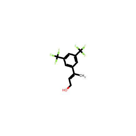 C/C(=C\CO)c1cc(C(F)(F)F)cc(C(F)(F)F)c1